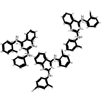 Cc1cc(F)ccc1Nc1nc(Nc2ccccc2C)c2ccccc2n1.Cc1ccccc1Nc1nc(Nc2ccccc2)nc2ccccc12.Cc1ccccc1Nc1nc(Nc2ccccc2C)c2ccccc2n1